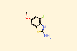 COc1cc(F)c2nc(N)sc2c1